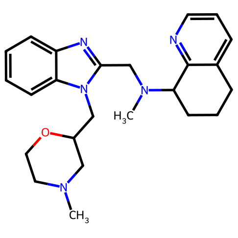 CN1CCOC(Cn2c(CN(C)C3CCCc4cccnc43)nc3ccccc32)C1